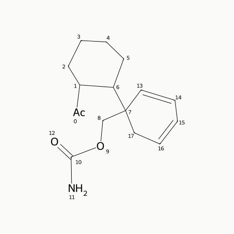 CC(=O)C1CCCCC1C1(COC(N)=O)C=CC=CC1